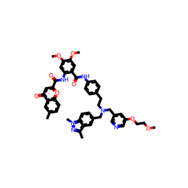 COCCOc1cncc(CN(CCc2ccc(NC(=O)c3cc(OC)c(OC)cc3NC(=O)c3cc(=O)c4cc(C)ccc4o3)cc2)Cc2ccc3c(c2)c(C)nn3C)c1